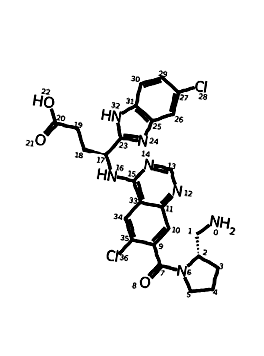 NC[C@@H]1CCCN1C(=O)c1cc2ncnc(N[C@@H](CCC(=O)O)c3nc4cc(Cl)ccc4[nH]3)c2cc1Cl